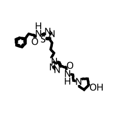 O=C(Cc1ccccc1)Nc1nnc(CCCCn2cc(C(=O)NCCN3CCC(O)CC3)nn2)s1